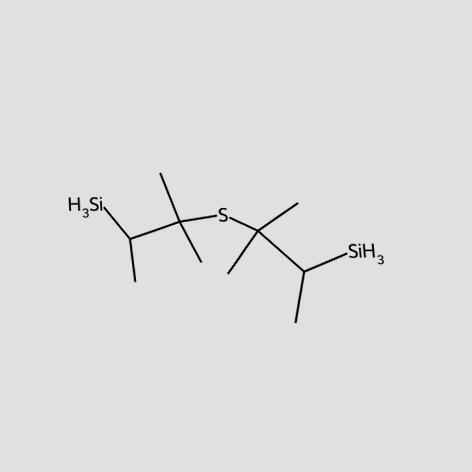 CC([SiH3])C(C)(C)SC(C)(C)C(C)[SiH3]